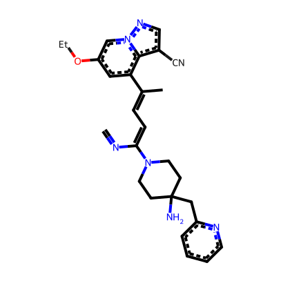 C=N/C(=C\C=C(/C)c1cc(OCC)cn2ncc(C#N)c12)N1CCC(N)(Cc2ccccn2)CC1